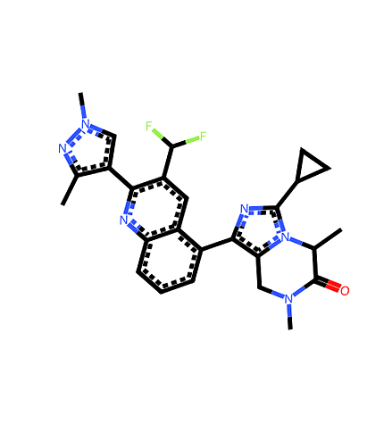 Cc1nn(C)cc1-c1nc2cccc(-c3nc(C4CC4)n4c3CN(C)C(=O)C4C)c2cc1C(F)F